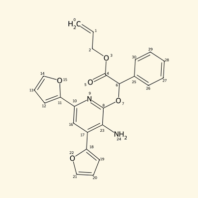 C=CCOC(=O)C(Oc1nc(-c2ccco2)cc(-c2ccco2)c1N)c1ccccc1